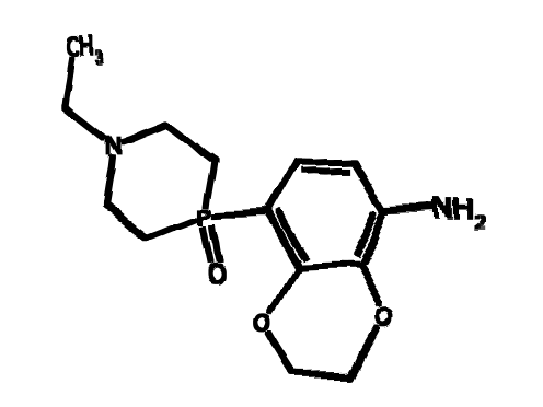 CCN1CCP(=O)(c2ccc(N)c3c2OCCO3)CC1